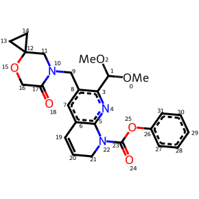 COC(OC)c1nc2c(cc1CN1CC3(CC3)OCC1=O)C=CCN2C(=O)Oc1ccccc1